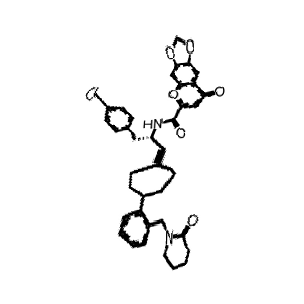 O=C(N[C@H](C=C1CCC(c2ccccc2CN2CCCCC2=O)CC1)Cc1ccc(Cl)cc1)c1cc(=O)c2cc3c(cc2o1)OCO3